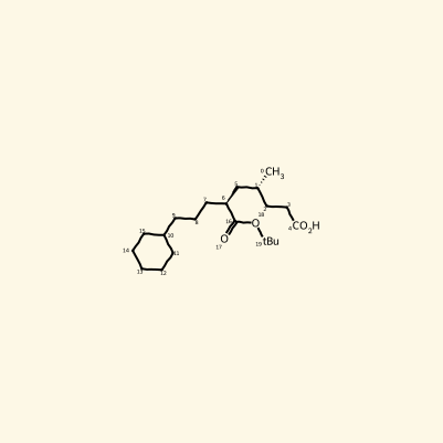 C[C@H](CCC(=O)O)C[C@H](CCCC1CCCCC1)C(=O)OC(C)(C)C